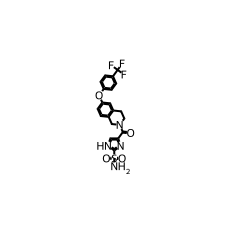 NS(=O)(=O)c1nc(C(=O)N2CCc3cc(Oc4ccc(C(F)(F)F)cc4)ccc3C2)c[nH]1